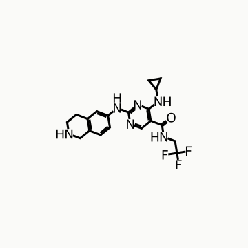 O=C(NCC(F)(F)F)c1cnc(Nc2ccc3c(c2)CCNC3)nc1NC1CC1